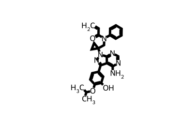 C=CC(=O)N(CC1(n2nc(-c3ccc(OC(C)C)c(O)c3)c3c(N)ncnc32)CC1)c1ccccc1